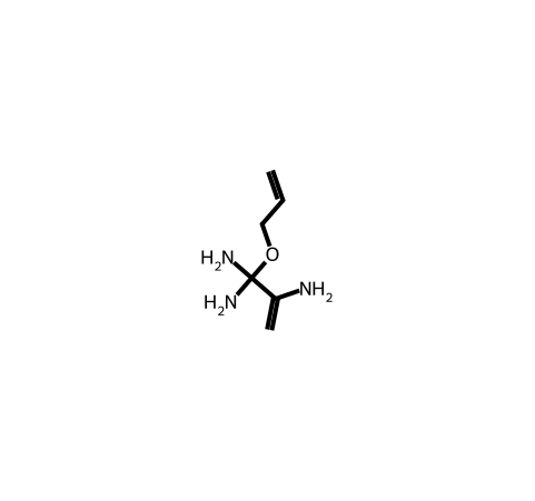 C=CCOC(N)(N)C(=C)N